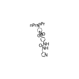 CCCN(CCC)C1CCN(S(=O)(=O)c2ccc(NC(=O)NCc3cccnc3)cc2)CC1